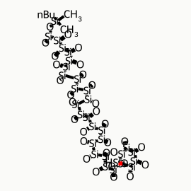 CCCC[Si](C)(C)O[Si](=O)[Si](=O)[Si](=O)[Si](=O)[Si](=O)[Si](=O)[Si](=O)[Si](=O)[Si](=O)[Si](=O)[Si](=O)[Si](=O)[Si](=O)[Si](=O)[Si](=O)[Si](=O)[Si](=O)[Si](=O)[Si](=O)[Si](=O)[Si](=O)[Si](=O)[Si](=O)[Si](=O)[Si](=O)[Si](=O)[Si](=O)[Si](=O)[SiH]=O